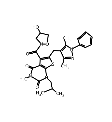 Cc1nn(-c2ccccc2)c(C)c1Cc1sc2c(c1C(=O)N1CC(O)CO1)c(=O)n(C)c(=O)n2CC(C)C